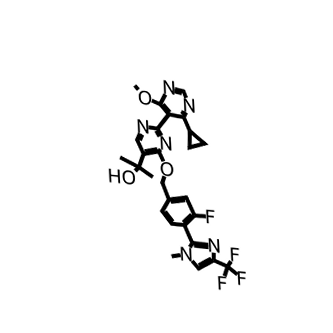 COc1ncnc(C2CC2)c1-c1ncc(C(C)(C)O)c(OCc2ccc(-c3nc(C(F)(F)F)cn3C)c(F)c2)n1